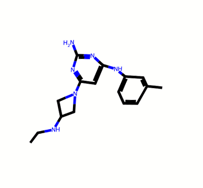 CCNC1CN(c2cc(Nc3cccc(C)c3)nc(N)n2)C1